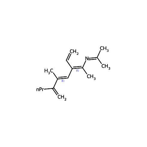 C=CC(/C=C(\C)C(=C)CCC)=C(/C)N=C(C)C